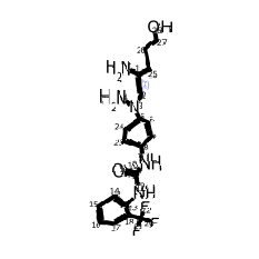 N/C(=C\N(N)c1ccc(NC(=O)Nc2ccccc2C(F)(F)F)cc1)CCCO